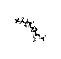 CO/N=C(\COC(C)=O)c1csc(NC(=O)[C@H](C)NC(=O)OC(C)(C)C)n1